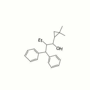 CCC(C(c1ccccc1)c1ccccc1)C(O)C1CC1(C)C